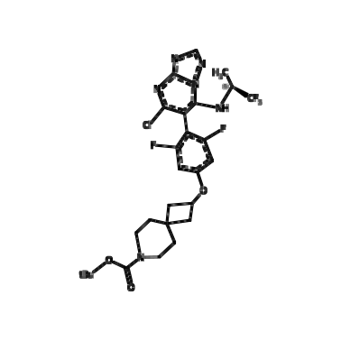 C[C@H](Nc1c(-c2c(F)cc(OC3CC4(CCN(C(=O)OC(C)(C)C)CC4)C3)cc2F)c(Cl)nc2ncnn12)C(F)(F)F